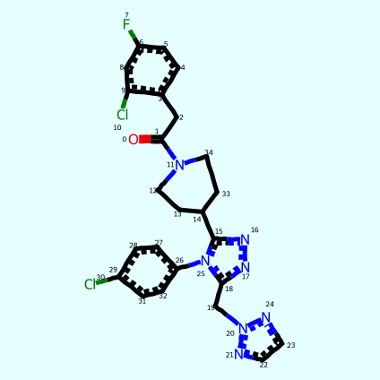 O=C(Cc1ccc(F)cc1Cl)N1CCC(c2nnc(Cn3nccn3)n2-c2ccc(Cl)cc2)CC1